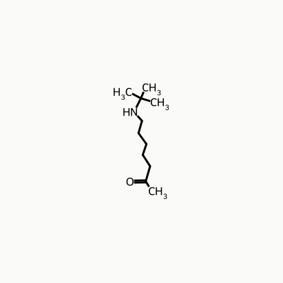 CC(=O)CCCCCNC(C)(C)C